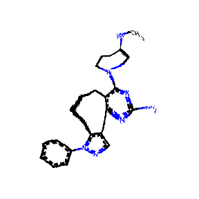 CN[C@@H]1CCN(c2nc(N)nc3c2CCCc2c-3cnn2-c2ccccc2)C1